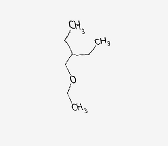 CCOCC(CC)CC